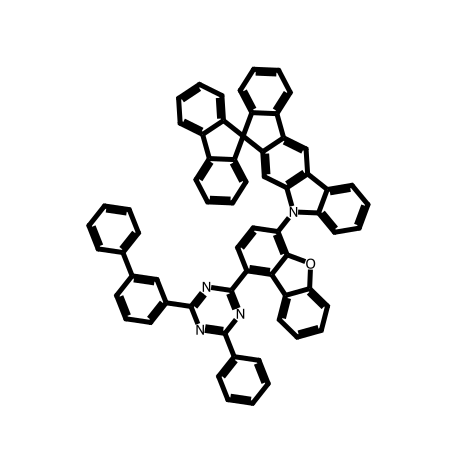 c1ccc(-c2cccc(-c3nc(-c4ccccc4)nc(-c4ccc(-n5c6ccccc6c6cc7c(cc65)C5(c6ccccc6-c6ccccc65)c5ccccc5-7)c5oc6ccccc6c45)n3)c2)cc1